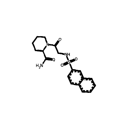 NC(=O)C1CCCCN1C(=O)CNS(=O)(=O)c1ccc2ccccc2c1